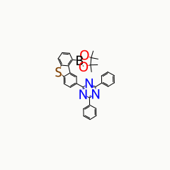 CC1(C)OB(c2cccc3sc4ccc(-c5nc(-c6ccccc6)nc(-c6ccccc6)n5)cc4c23)OC1(C)C